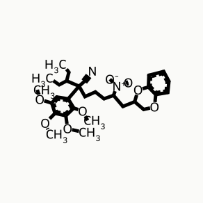 CCC(CC)C(C#N)(CCCC(CC1COc2ccccc2O1)[N+](=O)[O-])c1cc(OC)c(OC)c(OC)c1OC